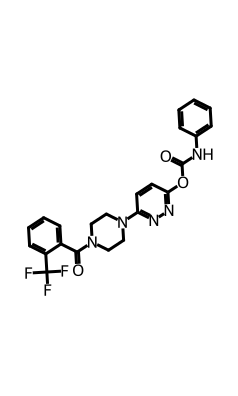 O=C(Nc1ccccc1)Oc1ccc(N2CCN(C(=O)c3ccccc3C(F)(F)F)CC2)nn1